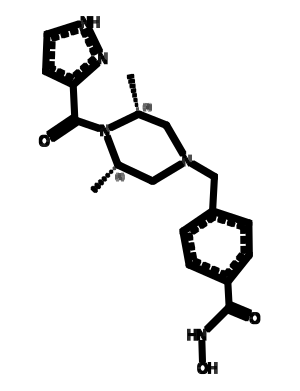 C[C@@H]1CN(Cc2ccc(C(=O)NO)cc2)C[C@H](C)N1C(=O)c1cc[nH]n1